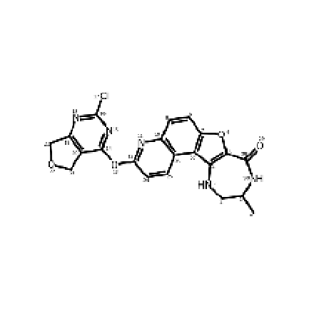 CC1CNc2c(oc3ccc4nc(Oc5nc(Cl)nc6c5COC6)ccc4c23)C(=O)N1